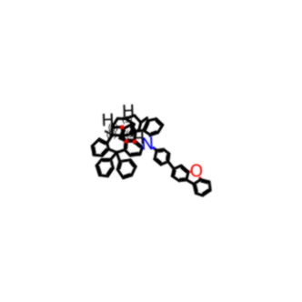 CC1C[C@@H]2C[C@H](C1)C13C[C@H](C2)[C@@]1(C)c1ccccc1C(c1ccccc1)(c1ccccc1)c1ccc(N(c2ccc(-c4ccc5c(c4)oc4ccccc45)cc2)c2ccccc2-c2ccccc2)cc13